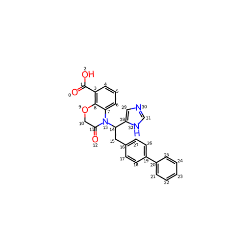 O=C(O)c1cccc2c1OCC(=O)N2C(Cc1ccc(-c2ccccc2)cc1)c1cnc[nH]1